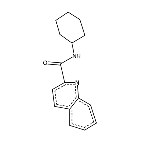 O=C(NC1CCCCC1)c1ccc2ccccc2n1